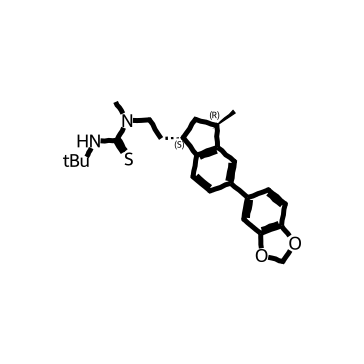 C[C@@H]1C[C@@H](CCN(C)C(=S)NC(C)(C)C)c2ccc(-c3ccc4c(c3)OCO4)cc21